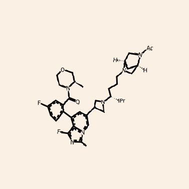 CC(=O)N1C[C@H]2C[C@@H]1CN2CCC[C@H](C(C)C)N1CC(c2cc(-c3ccc(F)cc3C(=O)N3CCOC[C@H]3C)c3c(F)nc(C)n3c2)C1